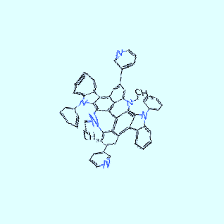 CCn1c2cc(-c3cccnc3)cc3c2c2c(c4c3c3ccccc3n4-c3ccccc3)n(CC)c3cc(-c4cccnc4)cc4c3c-2c1c1c4c2ccccc2n1-c1ccccc1